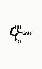 CSc1[nH]ccc1N=O